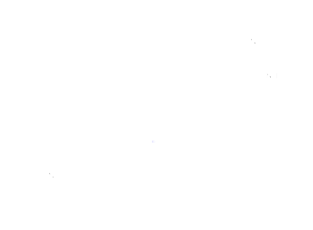 CN(C)Cc1ccc(/C=C/c2ccc3cc(C(=N)N)ccc3c2)cc1